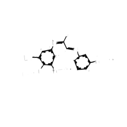 CCCCCCCCc1c(CC)cc(N=C(C)C=Nc2cccc(CCCCCC)c2)cc1CCCCCC